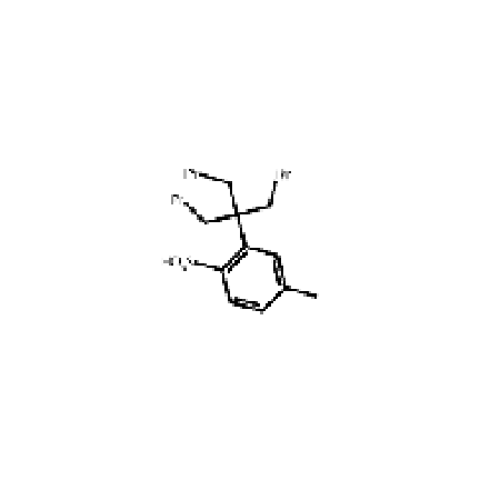 Cc1ccc(S(=O)(=O)O)c(C(CC(C)C)(CC(C)C)CC(C)C)c1